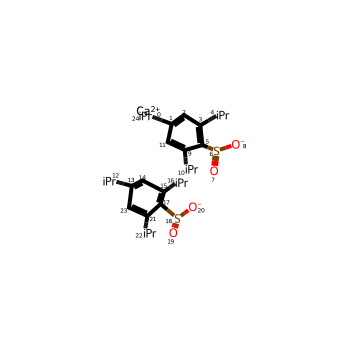 CC(C)c1cc(C(C)C)c(S(=O)[O-])c(C(C)C)c1.CC(C)c1cc(C(C)C)c(S(=O)[O-])c(C(C)C)c1.[Ca+2]